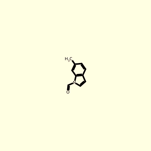 Cc1ccc2ccn(C=O)c2c1